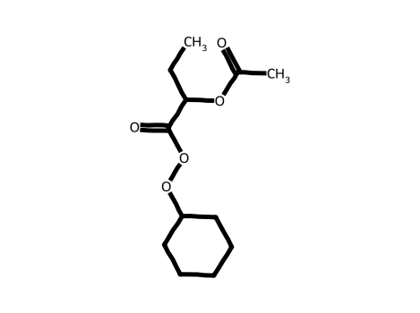 CCC(OC(C)=O)C(=O)OOC1CCCCC1